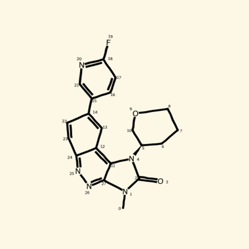 Cn1c(=O)n([C@@H]2CCCOC2)c2c3cc(-c4ccc(F)nc4)ccc3nnc21